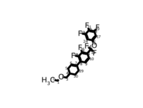 CCOCC1CC=C(c2ccc(C(F)(F)Oc3cc(F)c(F)c(F)c3)c(F)c2F)CC1